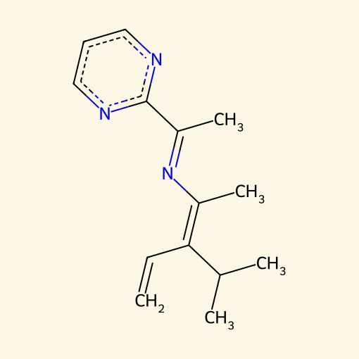 C=C/C(=C(C)\N=C(/C)c1ncccn1)C(C)C